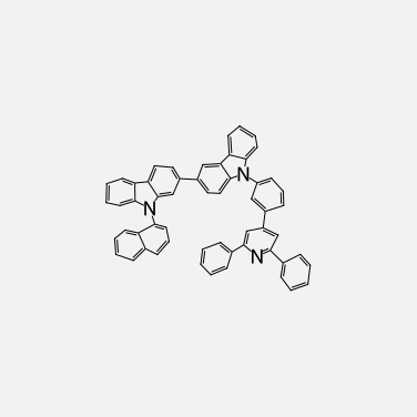 c1ccc(-c2cc(-c3cccc(-n4c5ccccc5c5cc(-c6ccc7c8ccccc8n(-c8cccc9ccccc89)c7c6)ccc54)c3)cc(-c3ccccc3)n2)cc1